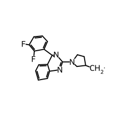 [CH2]C1CCN(c2nc(-c3cccc(F)c3F)c3ccccc3n2)C1